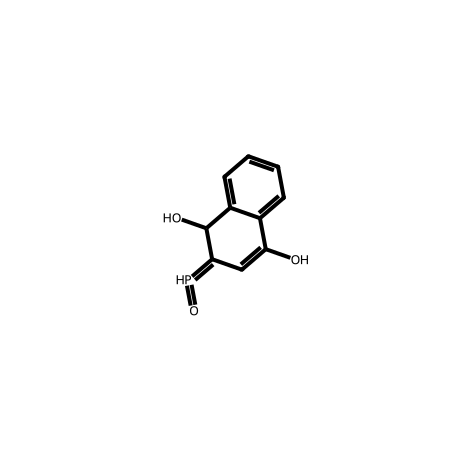 O=[PH]=C1C=C(O)c2ccccc2C1O